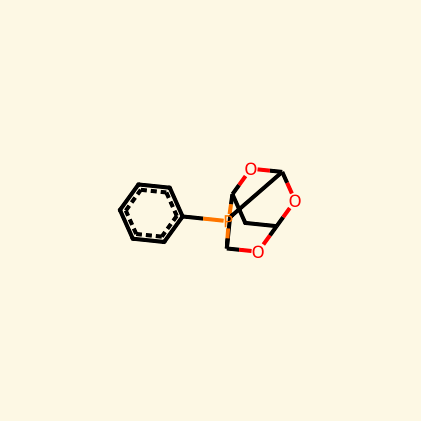 c1ccc(P2C3CC4OC(CC2O4)O3)cc1